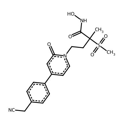 CC(CCn1ccc(-c2ccc(CC#N)cc2)cc1=O)(C(=O)NO)S(C)(=O)=O